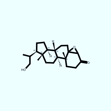 CC(CO)[C@H]1CC[C@H]2[C@@H]3CCC45OC4C(=O)CC[C@]5(C)[C@H]3CC[C@]12C